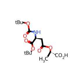 C[C@H](OC(=O)C[C@H](NC(=O)OC(C)(C)C)C(=O)OC(C)(C)C)C(=O)O